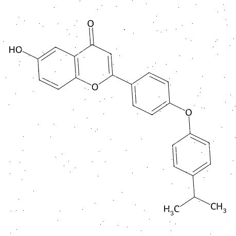 CC(C)c1ccc(Oc2ccc(-c3cc(=O)c4cc(O)ccc4o3)cc2)cc1